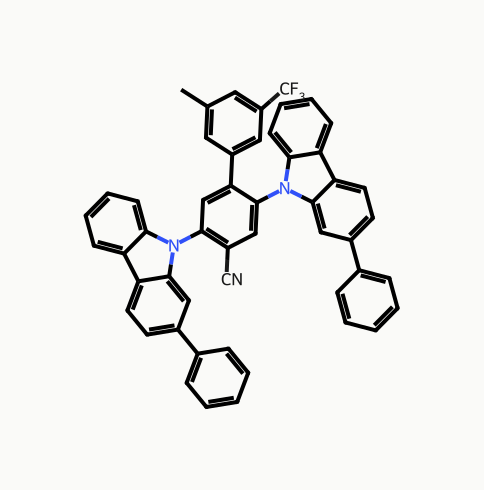 Cc1cc(-c2cc(-n3c4ccccc4c4ccc(-c5ccccc5)cc43)c(C#N)cc2-n2c3ccccc3c3ccc(-c4ccccc4)cc32)cc(C(F)(F)F)c1